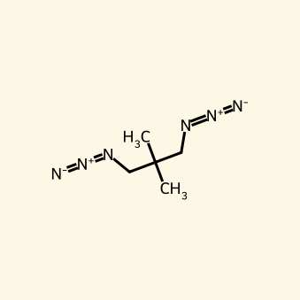 CC(C)(CN=[N+]=[N-])CN=[N+]=[N-]